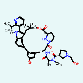 CCn1c(-c2cccnc2[C@H](C)OC)c2c3cc(ccc31)-c1cc(O)cc(c1)C[C@H](NC(=O)C(C(C)C)N(C)C(=O)[C@H]1CCN(CCO)C1)C(=O)N1CCC[C@H](N1)C(=O)OCC(C)(C)C2